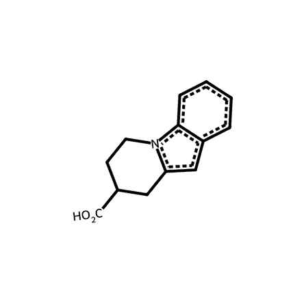 O=C(O)C1CCn2c(cc3ccccc32)C1